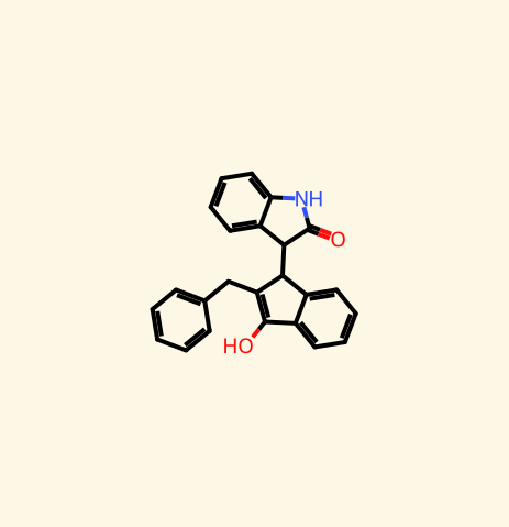 O=C1Nc2ccccc2C1C1C(Cc2ccccc2)=C(O)c2ccccc21